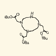 CC(C)COC(=O)CN1CCNCCN(CC(=O)OC(C)(C)C)CCN(CC(=O)OCC(C)C)CC1